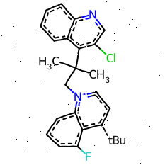 CC(C)(C)c1cc[n+](CC(C)(C)c2c(Cl)cnc3ccccc23)c2cccc(F)c12